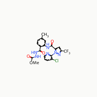 COC(=O)NNC(=O)c1ccc(C)cc1NC(=O)c1cc(C(F)(F)F)nn1-c1ncccc1Cl